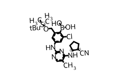 Cc1cnc(Nc2cc(Cl)c(B(O)O)c(CO[Si](C)(C)C(C)(C)C)c2)nc1N[C@@H]1CCC[C@H]1C#N